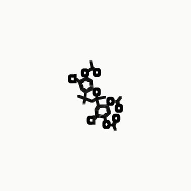 CC(=O)Oc1cc2c(cc1Cl)C(C)(C)CC(C)(c1cc(Cl)c(OC(C)=O)cc1OC(C)=O)O2